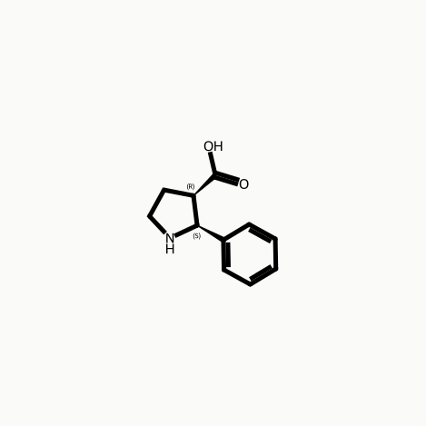 O=C(O)[C@@H]1CCN[C@@H]1c1ccccc1